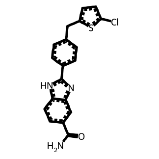 NC(=O)c1ccc2[nH]c(-c3ccc(Cc4ccc(Cl)s4)cc3)nc2c1